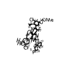 COCOc1cc(Cl)c(C2CC2)c(-c2nc3c4c(nc(OC[C@@]56CCCN5C[C@H](F)C6)nc4c2F)N(C[C@@H](O)C(F)(F)F)[C@@H](C)CO3)c1